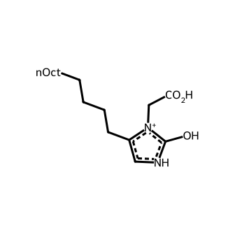 CCCCCCCCCCCCc1c[nH]c(O)[n+]1CC(=O)O